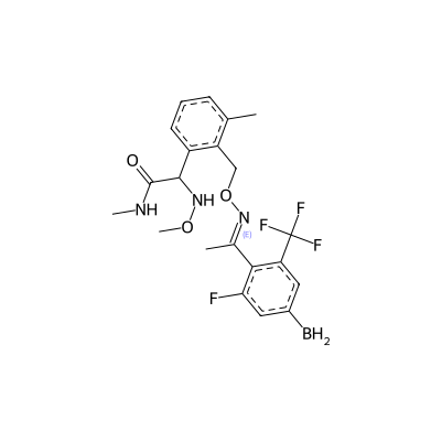 Bc1cc(F)c(/C(C)=N/OCc2c(C)cccc2C(NOC)C(=O)NC)c(C(F)(F)F)c1